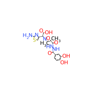 CC(C)(ON=C(C(=O)O)c1csc(N)n1)C(=O)NNC(=O)c1ccc(O)c(O)c1